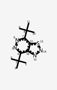 CC(C)(C)c1nnc(C(C)(C)C)c2snnc12